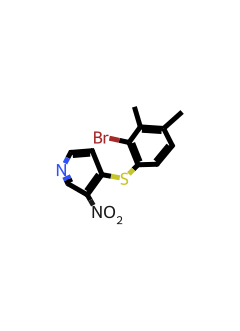 Cc1ccc(Sc2ccncc2[N+](=O)[O-])c(Br)c1C